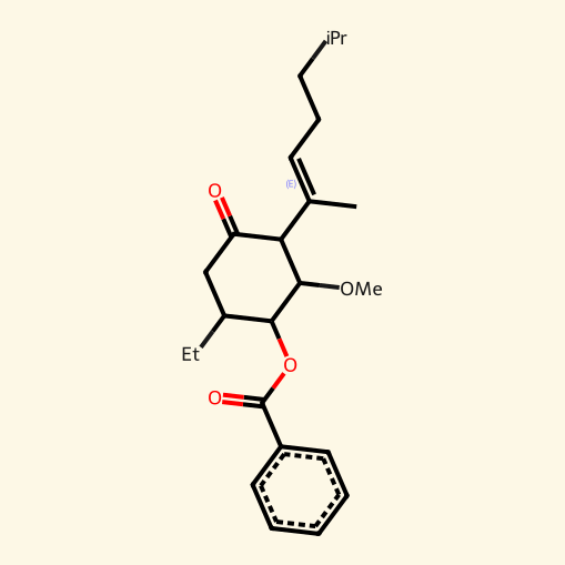 CCC1CC(=O)C(/C(C)=C/CCC(C)C)C(OC)C1OC(=O)c1ccccc1